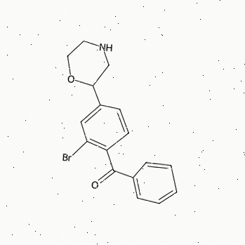 O=C(c1ccccc1)c1ccc(C2CNCCO2)cc1Br